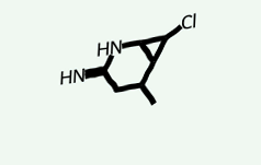 CC1CC(=N)NC2C(Cl)C12